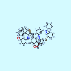 c1ccc(N2c3ccc4c(c3)N(c3ccccc3Sc3ccccc32)c2c3c(cc5oc6ccccc6c25)N(c2cccc5oc6ccccc6c25)c2c(sc5ccccc25)B43)cc1